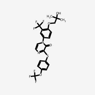 CC(C)(O)COc1ccc(-n2ccnc(Sc3ccc(OC(F)(F)F)cc3)c2=O)cc1C(F)(F)F